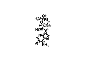 B[PH]1(O)OC[C@H]2O[C@@H](n3cnc4c(N)[n+]([O-])cnc43)C(O)[C@H]2O1